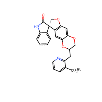 CCOC(=O)c1cccnc1CC1COc2cc3c(cc2O1)[C@]1(CO3)C(=O)Nc2ccccc21